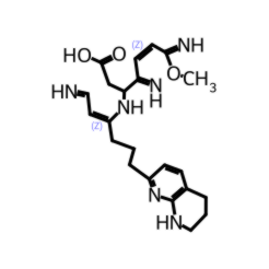 COC(=N)/C=C\C(=N)C(CC(=O)O)N/C(=C\C=N)CCCc1ccc2c(n1)NCCC2